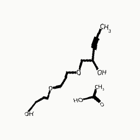 CC#CC(O)COCCOCCO.CC(=O)O